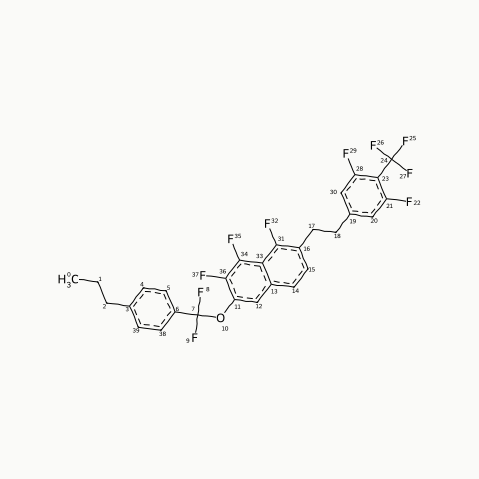 CCCc1ccc(C(F)(F)Oc2cc3ccc(CCc4cc(F)c(C(F)(F)F)c(F)c4)c(F)c3c(F)c2F)cc1